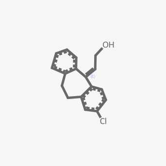 OC/C=C1\c2ccccc2CCc2cc(Cl)ccc21